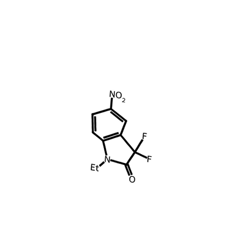 CCN1C(=O)C(F)(F)c2cc([N+](=O)[O-])ccc21